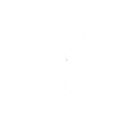 COC(C#N)C(=O)N[C@@H](CCC(=O)C=[N+]=[N-])C(=O)OC(C)C